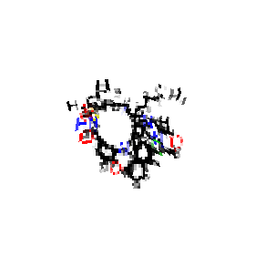 CCCCC[C@]1(CN2CCN3CCOC[C@@H]3C2)/C=C/C[C@H](C)[C@@H](C)S(=O)(=O)NC(=O)c2ccc3c(c2)N(C[C@@H]2CC[C@H]21)C[C@@]1(CCCc2cc(Cl)ccc21)CO3